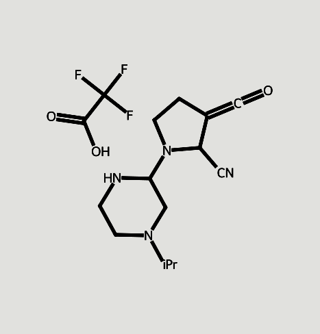 CC(C)N1CCNC(N2CCC(=C=O)C2C#N)C1.O=C(O)C(F)(F)F